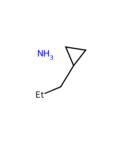 CCCC1CC1.N